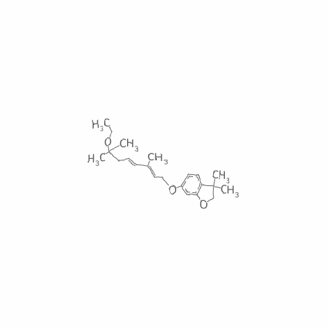 CCOC(C)(C)C/C=C/C(C)=C/COc1ccc2c(c1)OCC2(C)C